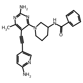 Cc1nc(N)nc(N2CCCC(NC(=O)c3ccccc3)C2)c1C#Cc1ccc(N)nc1